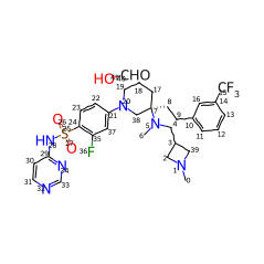 CN1CC(CN(C)[C@]2(CCc3cccc(C(F)(F)F)c3)CCCN(c3ccc(S(=O)(=O)Nc4ccncn4)c(F)c3)C2)C1.O=CO